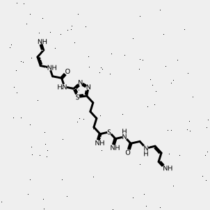 N=C/C=C\NCC(=O)NC(=N)SC(=N)CCCCc1nnc(NC(=O)CN/C=C\C=N)s1